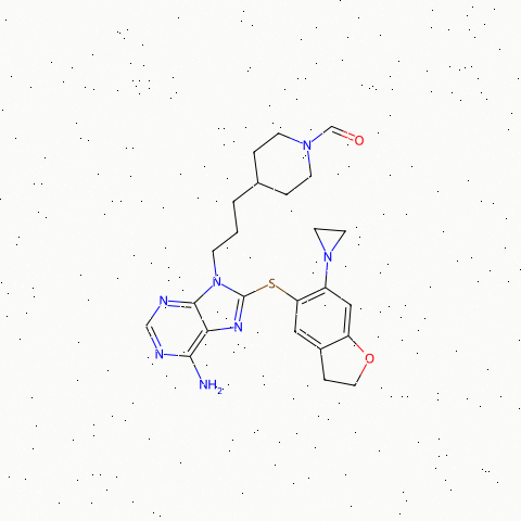 Nc1ncnc2c1nc(Sc1cc3c(cc1N1CC1)OCC3)n2CCCC1CCN(C=O)CC1